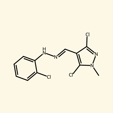 Cn1nc(Cl)c(C=NNc2ccccc2Cl)c1Cl